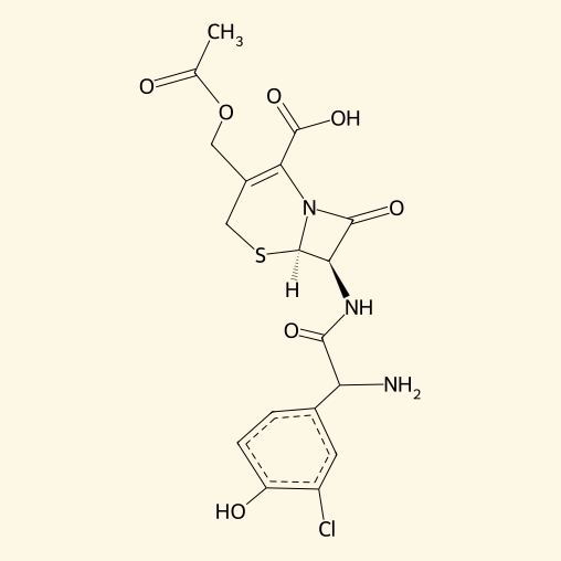 CC(=O)OCC1=C(C(=O)O)N2C(=O)[C@@H](NC(=O)C(N)c3ccc(O)c(Cl)c3)[C@H]2SC1